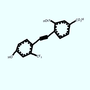 CCCCCCCCc1cc(C(=O)O)ccc1C#Cc1ccc(O)cc1C(F)(F)F